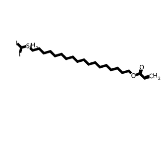 C=CC(=O)OCCCCCCCCCCCCCCCCCC[SiH2]C(I)I